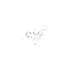 COC(=O)CNC(=O)c1nn(C2CCCCO2)cc1NC(=O)c1cccc(C)n1